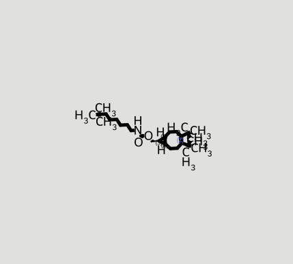 CC(C)(C)CCCCCCNC(=O)OC[C@@H]1[C@@H]2CC/C(C(C)(C)C)=C(/C(C)(C)C)CC[C@@H]21